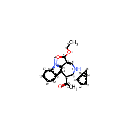 CCOC(=O)C1=CNCC(C(C)=O)c2c1[nH]c1ccccc21.c1cc2cc-2c1